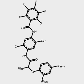 CCCC(C)c1ccc(OC(C(=O)Nc2cc(O)c(NC(=O)c3c(F)c(F)c(F)c(F)c3F)cc2Cl)C(C)(C)C)c(C(C)CCC)c1